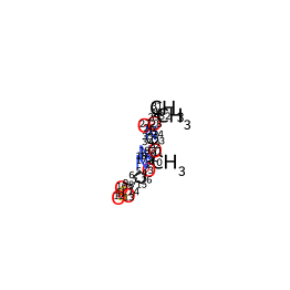 Cc1c(Oc2ccc([C@H]3CO[S@](=O)OC3)cc2)ncnc1OC1CCN(C(=O)OCC(C)C)CC1